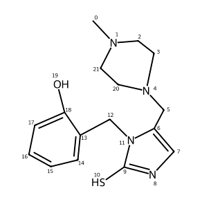 CN1CCN(Cc2cnc(S)n2Cc2ccccc2O)CC1